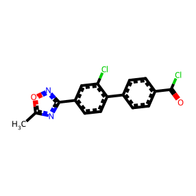 Cc1nc(-c2ccc(-c3ccc(C(=O)Cl)cc3)c(Cl)c2)no1